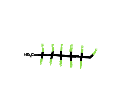 O=C(O)C(F)(F)C(F)(F)C(F)(F)C(F)(F)C(F)(F)CF